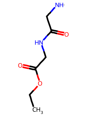 CCOC(=O)CNC(=O)C[NH]